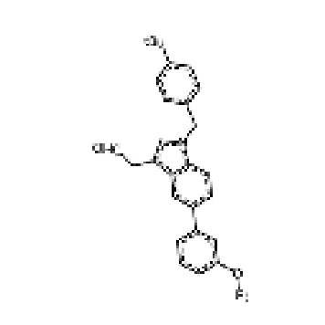 CCOc1cccc(-c2ccc3c(c2)c(CC=O)cn3Cc2ccc(C(C)(C)C)cc2)c1